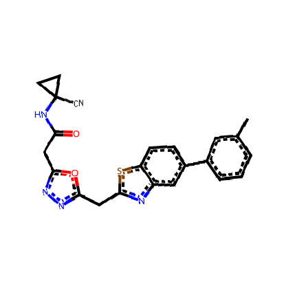 Cc1cccc(-c2ccc3sc(Cc4nnc(CC(=O)NC5(C#N)CC5)o4)nc3c2)c1